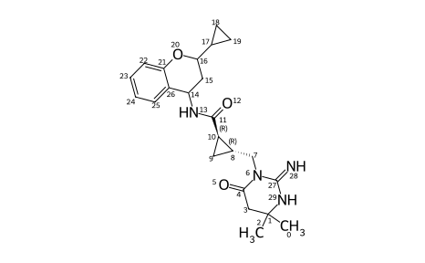 CC1(C)CC(=O)N(C[C@@H]2C[C@H]2C(=O)NC2CC(C3CC3)Oc3ccccc32)C(=N)N1